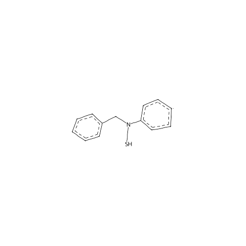 SN(Cc1ccccc1)c1cc[c]cc1